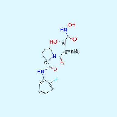 CCCC[C@@H](C(=O)N1CCC[C@H]1C(=O)Nc1ccccc1F)[C@H](O)C(=O)NO